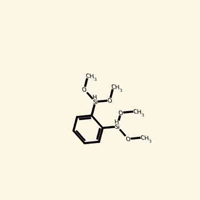 CO[SiH](OC)c1ccccc1[SiH](OC)OC